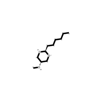 CCCCCC[C@H]1OC[C@H](OC)CO1